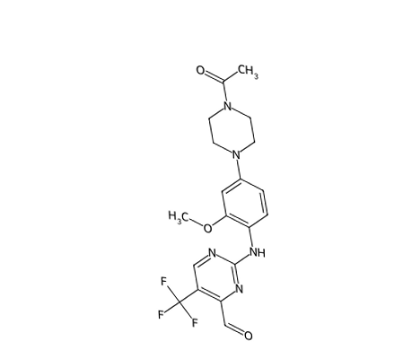 COc1cc(N2CCN(C(C)=O)CC2)ccc1Nc1ncc(C(F)(F)F)c(C=O)n1